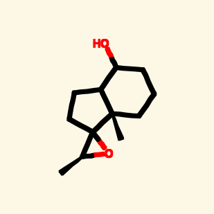 C[C@@H]1OC12CCC1C(O)CCC[C@@]12C